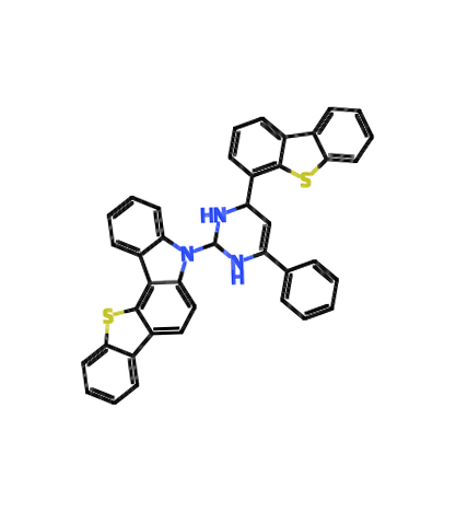 C1=C(c2ccccc2)NC(n2c3ccccc3c3c4sc5ccccc5c4ccc32)NC1c1cccc2c1sc1ccccc12